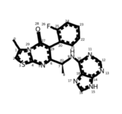 Cc1csc2nc([C@H](C)Nc3ncnc4[nH]cnc34)c(-c3ccccc3F)c(=O)n12